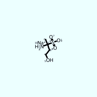 CC(N)(CCO)S(=O)(=O)[O-].[Na+]